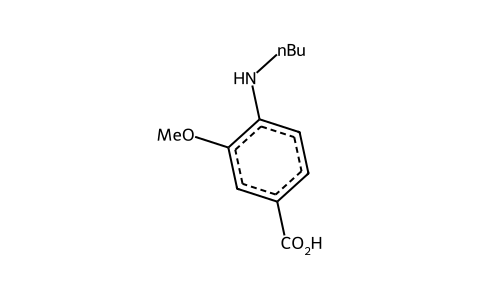 CCCCNc1ccc(C(=O)O)cc1OC